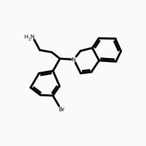 NCCC(c1cccc(Br)c1)N1C=Cc2ccccc2C1